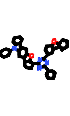 c1ccc(-c2nc(-c3ccc4oc5ccccc5c4c3)nc(-c3cccc4c3oc3cc5c6ccccc6n(-c6ccccc6)c5cc34)n2)cc1